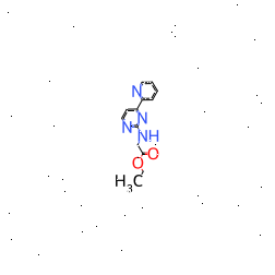 CCOC(=O)CNc1nccc(-c2ccccn2)n1